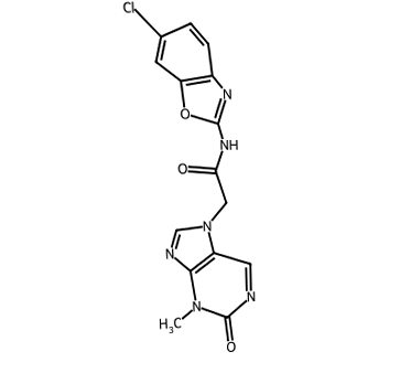 Cn1c(=O)ncc2c1ncn2CC(=O)Nc1nc2ccc(Cl)cc2o1